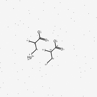 O=C([O-])C(I)CI.O=C([O-])C(I)CI.[Hg+2]